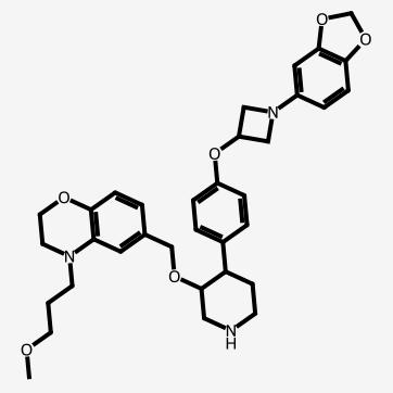 COCCCN1CCOc2ccc(COC3CNCCC3c3ccc(OC4CN(c5ccc6c(c5)OCO6)C4)cc3)cc21